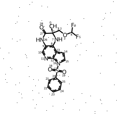 C[C@@]1(COC(F)F)Nc2c(cnc3c2ccn3S(=O)(=O)c2ccccc2)NC1=O